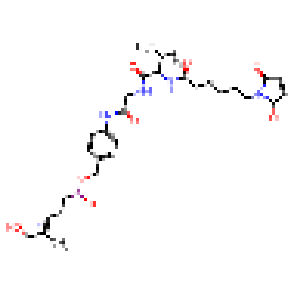 C/C(=C\CCP(O)OCc1ccc(NC(=O)CNC(=O)C(NC(=O)CCCCCN2C(=O)C=CC2=O)C(C)C)cc1)CO